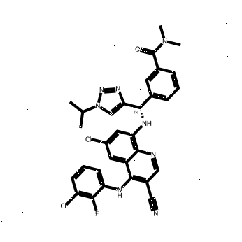 CC(C)n1cc([C@@H](Nc2cc(Cl)cc3c(Nc4cccc(Cl)c4F)c(C#N)cnc23)c2cccc(C(=O)N(C)C)c2)nn1